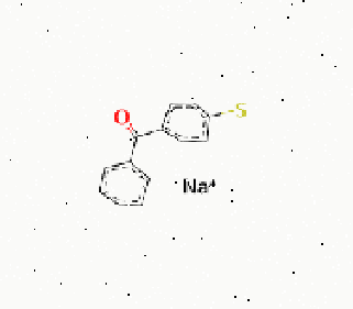 O=C(c1ccccc1)c1ccc([S-])cc1.[Na+]